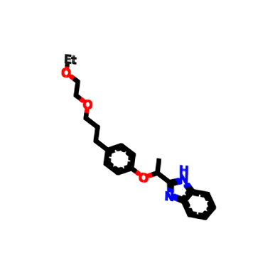 CCOCCOCCCc1ccc(OC(C)c2nc3ccccc3[nH]2)cc1